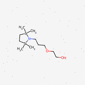 C[Si]1(C)CC[Si](C)(C)N1CCCOCCO